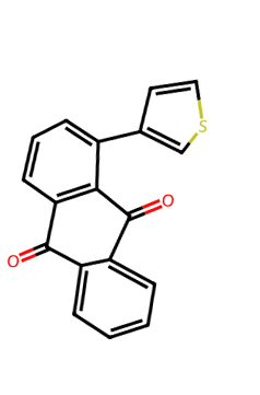 O=C1c2ccccc2C(=O)c2c1cccc2-c1ccsc1